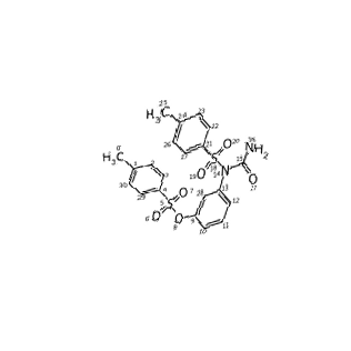 Cc1ccc(S(=O)(=O)Oc2cccc(N(C(N)=O)S(=O)(=O)c3ccc(C)cc3)c2)cc1